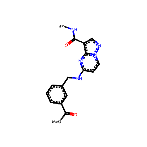 COC(=O)c1cccc(CNc2ccn3ncc(C(=O)NC(C)C)c3n2)c1